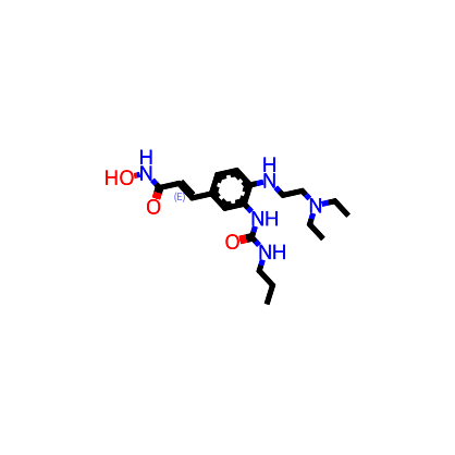 CCCNC(=O)Nc1cc(/C=C/C(=O)NO)ccc1NCCN(CC)CC